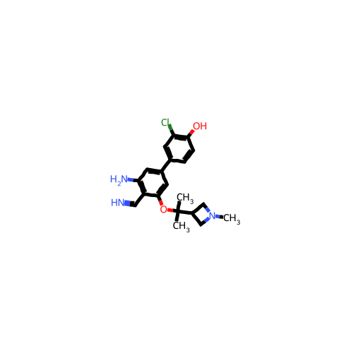 CN1CC(C(C)(C)Oc2cc(-c3ccc(O)c(Cl)c3)cc(N)c2C=N)C1